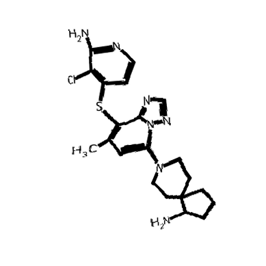 Cc1cc(N2CCC3(CCCC3N)CC2)n2ncnc2c1Sc1ccnc(N)c1Cl